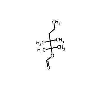 CCCC(C)(C)C(C)(C)OC=O